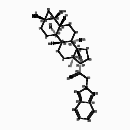 C[C@]12CC[C@@H]3[C@H]4CC[C@]5(O)C[C@@H]5[C@@H]4CC[C@H]3[C@@H]1CC[C@@H]2C(=O)Cn1nc2ccccc2n1